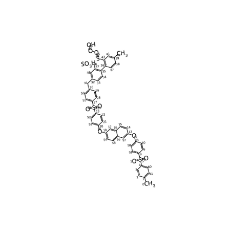 Cc1ccc(S(=O)(=O)c2ccc(Oc3ccc4cc(Oc5ccc(S(=O)(=O)c6ccc(Cc7ccc(-c8ccc(C)cc8SOOO)c(S(=O)(=O)O)c7)cc6)cc5)ccc4c3)cc2)cc1